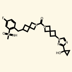 CS(=N)(=O)c1cc(F)ccc1CC1CC2(C1)CN(C(=O)N1CC3(CC(n4cnc(C5(O)CC5)n4)C3)C1)C2